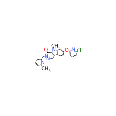 Cc1cccc(Cn2ncc3c4ccc(Oc5cccc(Cl)n5)cc4n(C)c3c2=O)n1